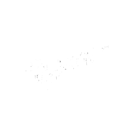 O=C(NS(=O)(=O)[C@H]1CC[C@@H](O)CC1)c1ccc(N2C[C@@H]3C[C@H]2C[C@H]3OCc2c(-c3c(Cl)cccc3Cl)noc2C2CC2)cc1